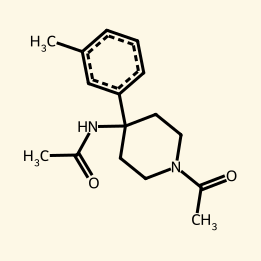 CC(=O)NC1(c2cccc(C)c2)CCN(C(C)=O)CC1